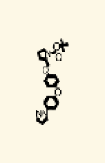 CC(C)(C)OC(=O)N1CCCC1COc1ccc(Oc2ccc(-n3cccn3)cc2)cc1